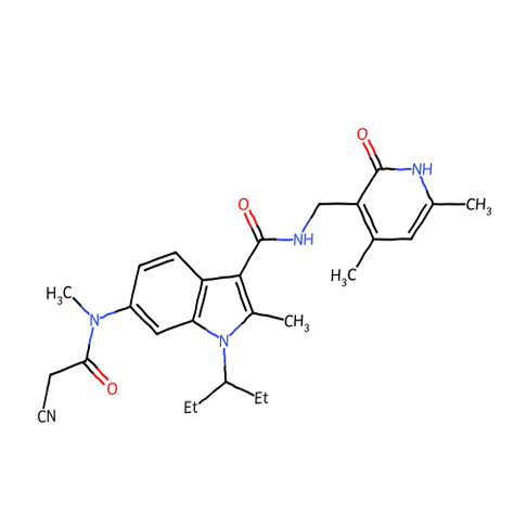 CCC(CC)n1c(C)c(C(=O)NCc2c(C)cc(C)[nH]c2=O)c2ccc(N(C)C(=O)CC#N)cc21